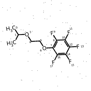 CC(C)OCCOc1c(F)c(F)c(F)c(F)c1F